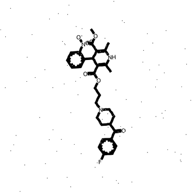 COC(=O)C1=C(C)NC(C)=C(C(=O)OCCCN2CCC(C(=O)c3ccc(F)cc3)CC2)C1c1ccccc1[N+](=O)[O-]